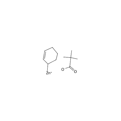 CC(C)(C)C(=O)[O-].[Zn+][CH]1C=CCCC1